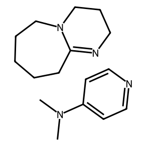 C1CCC2=NCCCN2CC1.CN(C)c1ccncc1